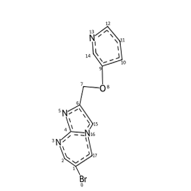 Brc1cnc2nc(COc3cccnc3)cn2c1